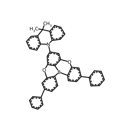 CC1(C)c2ccccc2N(c2cc3c4c(c2)Oc2cc(-c5ccccc5)ccc2B4c2ccc(-c4ccccc4)cc2O3)c2ccccc21